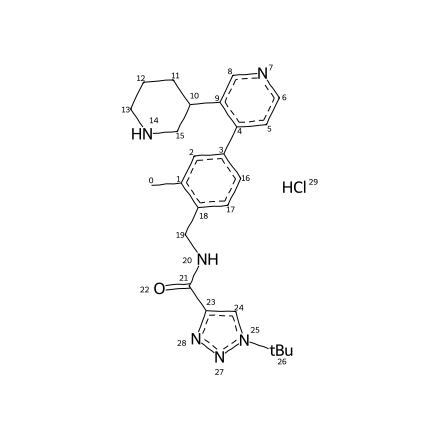 Cc1cc(-c2ccncc2C2CCCNC2)ccc1CNC(=O)c1cn(C(C)(C)C)nn1.Cl